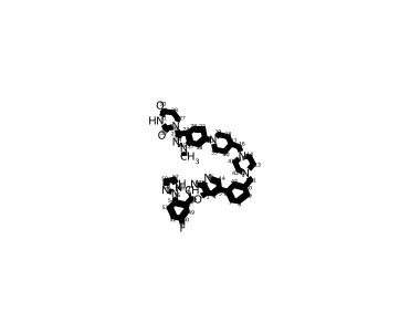 C[C@@H](Oc1cc(-c2cccc(CN3CCN(CC4CCN(c5ccc6c(N7CCC(=O)NC7=O)nn(C)c6c5)CC4)CC3)c2)cnc1N)c1cc(F)ccc1-n1nccn1